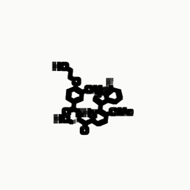 COc1cc(C(=O)N[C@@H](CO)C(=O)c2ccc(OC)c(-c3csc4c(F)cccc34)n2)ccc1OCCO